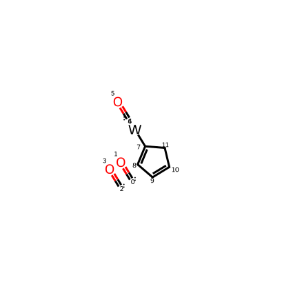 [C]=O.[C]=O.[C]=O.[W][C]1=CC=CC1